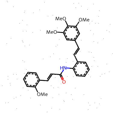 COc1ccccc1/C=C/C(=O)Nc1ccccc1C=Cc1cc(OC)c(OC)c(OC)c1